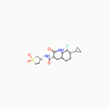 O=C(N[C@@H]1C=CS(=O)(=O)C1)c1cc2ccc(C3CC3)c(F)c2[nH]c1=O